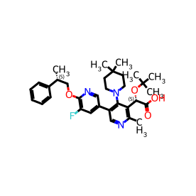 Cc1ncc(-c2cnc(OC[C@@H](C)c3ccccc3)c(F)c2)c(N2CCC(C)(C)CC2)c1[C@H](OC(C)(C)C)C(=O)O